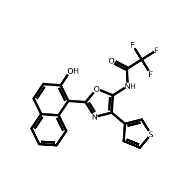 O=C(Nc1oc(-c2c(O)ccc3ccccc23)nc1-c1ccsc1)C(F)(F)F